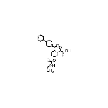 CCNC(=O)O[C@@H]1CC[C@H](C(=O)N2CCC(c3ccccc3)CC2)[C@@H](C(=O)NO)C1